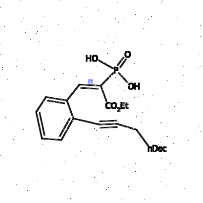 CCCCCCCCCCCC#Cc1ccccc1/C=C(\C(=O)OCC)P(=O)(O)O